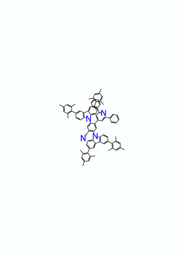 Cc1cc(C)c(-c2ccc3c(c2)c2cc(-c4c(C)cc(C)cc4C)ccc2n3-c2cc(-c3cc(-c4ccccc4)nc(-c4ccccc4)c3)c(-n3c4ccc(-c5c(C)cc(C)cc5C)cc4c4cc(-c5c(C)cc(C)cc5C)ccc43)cc2C#N)c(C)c1